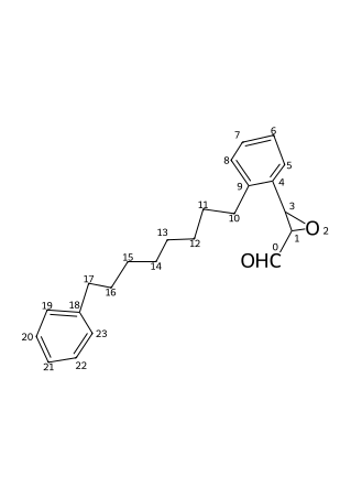 O=CC1OC1c1ccccc1CCCCCCCCc1ccccc1